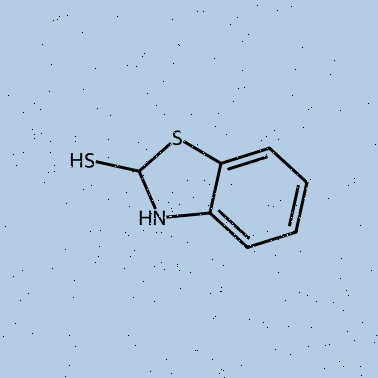 S[C]1Nc2ccccc2S1